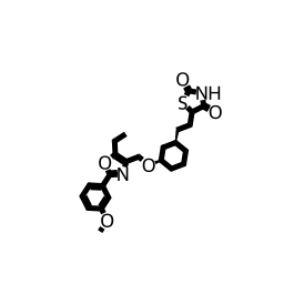 CCc1oc(-c2cccc(OC)c2)nc1CO[C@@H]1CCC[C@H](CCC2SC(=O)NC2=O)C1